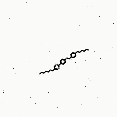 CCCCCCCc1cnc(-c2ccc(CCc3ccc(CCCCCC)cc3)cc2)nc1